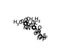 COc1cc2ncnc(Oc3ccc(N4C(=O)CN(c5cncc(C(F)(F)F)c5)C4=O)cc3C(C)C)c2cc1OC